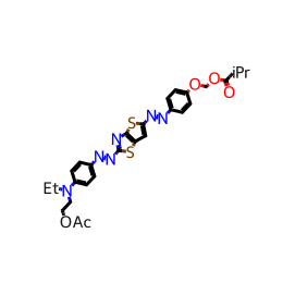 CCN(CCOC(C)=O)c1ccc(N=Nc2nc3sc(N=Nc4ccc(OCOC(=O)C(C)C)cc4)cc3s2)cc1